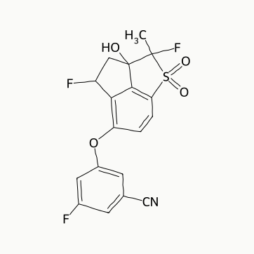 CC1(F)C2(O)CC(F)c3c(Oc4cc(F)cc(C#N)c4)ccc(c32)S1(=O)=O